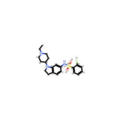 CCN1CCC(N2CCc3ccc(NS(=O)(=O)c4ccccc4F)cc32)CC1